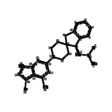 CC(C)(C)[S+]([O-])N[C@@H]1c2ccccc2CC12CCN(c1nc(C#N)c3c(Br)n[nH]c3n1)CC2